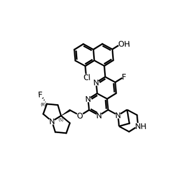 Oc1cc(-c2nc3nc(OC[C@@]45CCCN4C[C@H](F)C5)nc(N4C5CNCC4C5)c3cc2F)c2c(Cl)cccc2c1